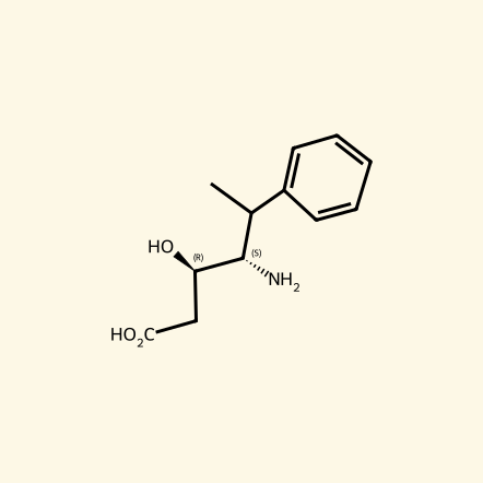 CC(c1ccccc1)[C@H](N)[C@H](O)CC(=O)O